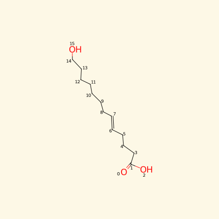 O=C(O)CCC/C=C/CCCCCCCO